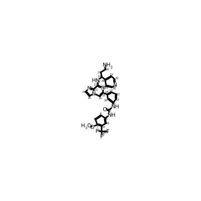 COc1ccc(NC(=O)Nc2cccc(-c3cn4ccnc4c(NC(CCN)c4ccncc4)n3)c2)cc1C(F)(F)F